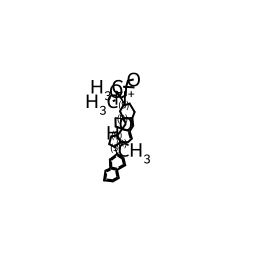 CC1(C[N+](C)([O-])[C@H]2CCC3=CC4=CC[C@]5(C)[C@@H](c6ccc7ccccc7c6)CC[C@H]5C45CC[C@]3(C2)O5)COC1